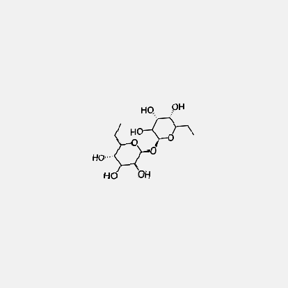 CCC1O[C@@H](O[C@@H]2OC(CC)[C@@H](O)[C@@H](O)C2O)C(O)C(O)[C@@H]1O